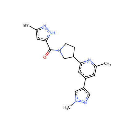 CCCc1cc(C(=O)N2CCC(c3cc(-c4cnn(C)c4)cc(C)n3)C2)[nH]n1